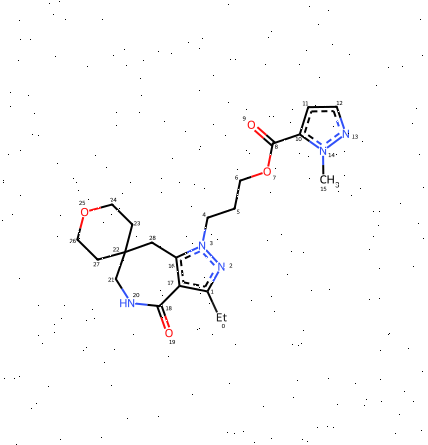 CCc1nn(CCCOC(=O)c2ccnn2C)c2c1C(=O)NCC1(CCOCC1)C2